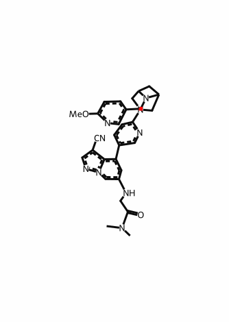 COc1ccc(CN2C3CC2CN(c2ccc(-c4cc(NCC(=O)N(C)C)cn5ncc(C#N)c45)cn2)C3)cn1